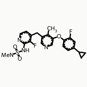 CNS(=O)(=O)Nc1nccc(Cc2cncc(Oc3ccc(C4CC4)cc3F)c2C)c1F